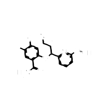 COc1cccc(C(CCN)Oc2cc(Cl)c(F)cc2C(N)=O)n1